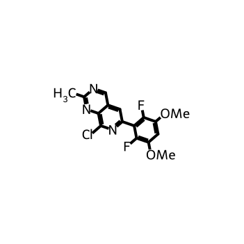 COc1cc(OC)c(F)c(-c2cc3cnc(C)nc3c(Cl)n2)c1F